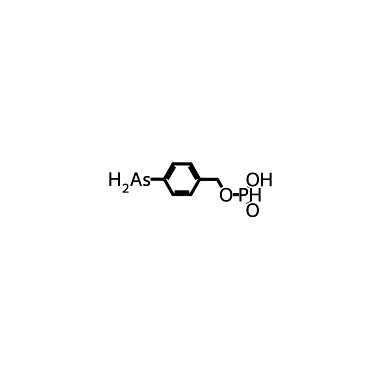 O=[PH](O)OCc1ccc([AsH2])cc1